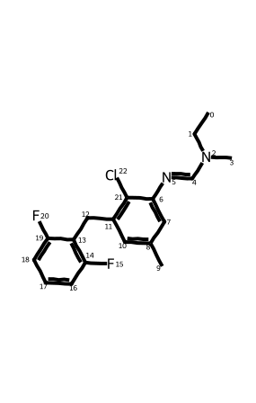 CCN(C)C=Nc1cc(C)cc(Cc2c(F)cccc2F)c1Cl